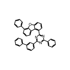 c1ccc(-c2cccc(-c3nc(-c4ccccc4)nc(-c4cccc5oc6c(-c7ccccc7)cccc6c45)n3)c2)cc1